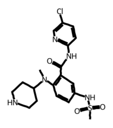 CN(c1ccc(NS(C)(=O)=O)cc1C(=O)Nc1ccc(Cl)cn1)C1CCNCC1